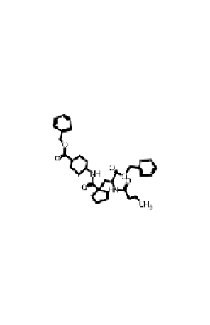 CCCC(=O)NC(CC1(C(=O)NC2CCC(C(=O)OCc3ccccc3)CC2)CCCC1)C(=O)OCc1ccccc1